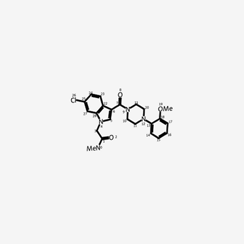 CNC(=O)Cn1cc(C(=O)N2CCN(c3ccccc3OC)CC2)c2ccc(Cl)cc21